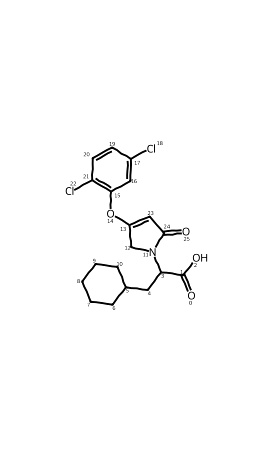 O=C(O)C(CC1CCCCC1)N1CC(Oc2cc(Cl)ccc2Cl)=CC1=O